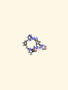 O=C1NCc2cc(ccc2N2CCOCC2)Nc2nccc(n2)-c2cccc(c2)CCN2CCC[C@@H]12